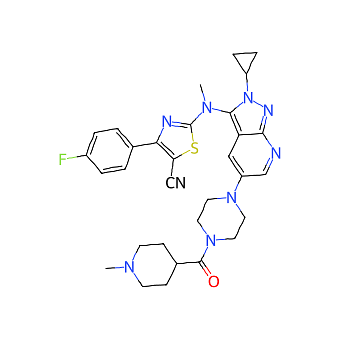 CN1CCC(C(=O)N2CCN(c3cnc4nn(C5CC5)c(N(C)c5nc(-c6ccc(F)cc6)c(C#N)s5)c4c3)CC2)CC1